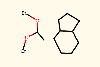 C1CCC2CCCC2C1.CCOC(C)OCC